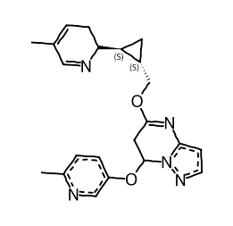 CC1=CCC([C@H]2C[C@@H]2COC2=Nc3ccnn3C(Oc3ccc(C)nc3)C2)N=C1